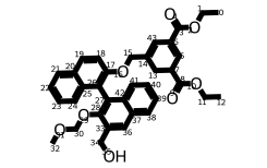 CCOC(=O)C1=CC(C(=O)OCC)CC(COc2ccc3ccccc3c2-c2c(OCOC)c(CO)cc3ccccc23)=C1